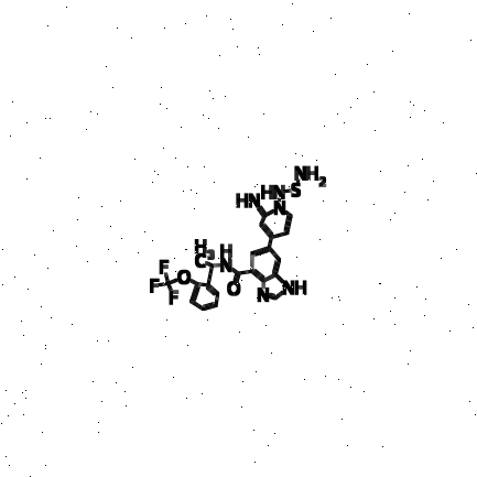 CC(NC(=O)c1cc(-c2ccn(NSN)c(=N)c2)cc2[nH]cnc12)c1ccccc1OC(F)(F)F